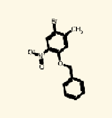 Cc1cc(OCc2ccccc2)c([N+](=O)[O-])cc1Br